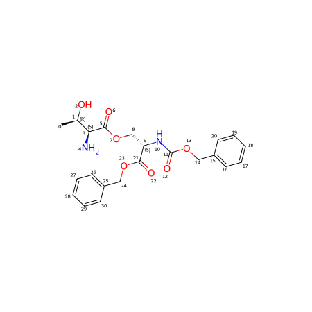 C[C@@H](O)[C@H](N)C(=O)OC[C@H](NC(=O)OCc1ccccc1)C(=O)OCc1ccccc1